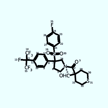 O=CC1(C(=O)N2CCC(c3ccc(C(F)(C(F)(F)F)C(F)(F)F)cc3)(S(=O)(=O)c3ccc(F)cc3)C2)CCSCC1